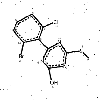 CSc1nc(O)nc(-c2c(Cl)cccc2Br)n1